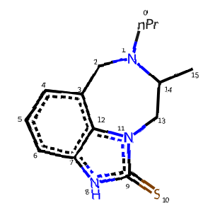 CCCN1Cc2cccc3[nH]c(=S)n(c23)CC1C